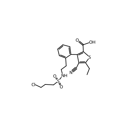 CCc1sc(C(=O)O)c(-c2ccccc2CCNS(=O)(=O)CCCCl)c1C#N